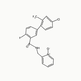 O=C(NCc1cccc[n+]1[O-])c1cc(-c2ccc(Cl)cc2C(F)(F)F)ccc1F